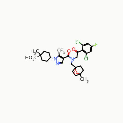 CC12CCC(CN(CC(=O)c3c(Cl)cc(F)cc3Cl)C(=O)c3cnn([C@H]4CC[C@](C)(C(=O)O)CC4)c3C(F)(F)F)(CC1)O2